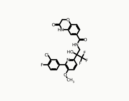 COc1ccc(C(O)(CNC(=O)c2ccc3c(c2)NC(=O)CO3)C(F)(F)F)nc1-c1ccc(F)c(Cl)c1